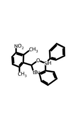 Cc1ccc([N+](=O)[O-])c(C)c1C(O[SiH](c1ccccc1)c1ccccc1)C(C)(C)C